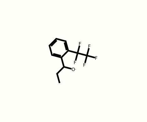 CCC([O])c1ccccc1C(F)(F)C(F)(F)F